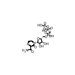 NC(=O)c1nccn([C@@H]2O[C@H](COP(=O)(O)OP(=O)(O)OP(=O)(O)O)[C@@H](O)[C@H]2O)c1=O